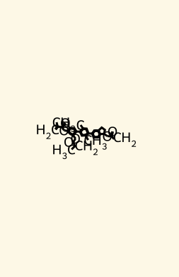 C=CC(=O)OC1CCc2cc(-c3cc(C)c(-c4ccc(OC(=O)C(=C)C)cc4OC(=O)C(=C)C)cc3C)ccc21